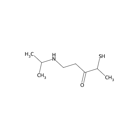 CC(C)NCCC(=O)C(C)S